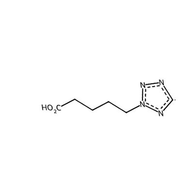 O=C(O)CCCCn1n[c]nn1